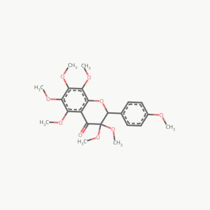 COc1ccc(C2Oc3c(OC)c(OC)c(OC)c(OC)c3C(=O)C2(OC)OC)cc1